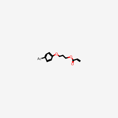 C=CC(=O)OCCCOc1ccc(C(C)=O)cc1